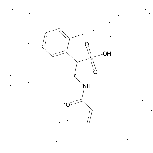 C=CC(=O)NCC(c1ccccc1C)S(=O)(=O)O